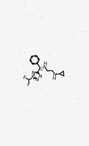 FC(F)n1nnc([C@@H](NCCNC2CC2)c2ccccc2)n1